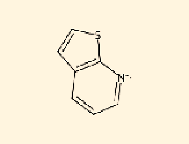 C1=Cc2ccsc2[N+]=C1